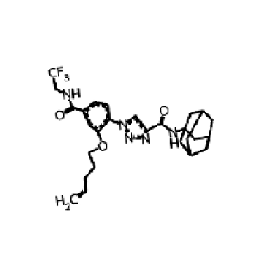 C=CCCCOc1cc(C(=O)NCC(F)(F)F)ccc1-n1cc(C(=O)NC23CC4CC(CC(C4)C2)C3)nn1